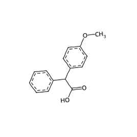 COc1ccc(C(C(=O)O)c2ccccc2)cc1